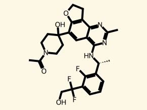 CC(=O)N1CCC(O)(c2cc3c(N[C@H](C)c4cccc(C(F)(F)CO)c4F)nc(C)nc3c3c2OCC3)CC1